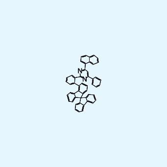 c1ccc(-c2cc(-c3cccc4ccccc34)nc(-c3ccccc3-c3cccc4c3-c3ccccc3C43c4ccccc4-c4ccccc43)n2)cc1